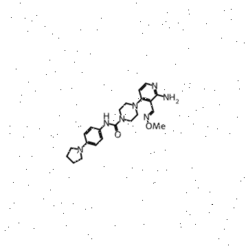 CO/N=C/c1c(N2CCN(C(=O)Nc3ccc(N4CCCC4)cc3)CC2)ccnc1N